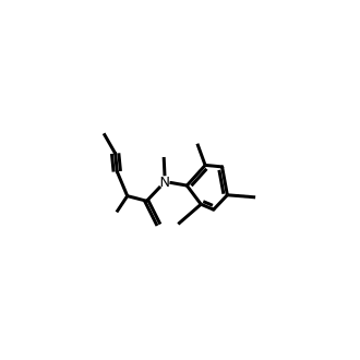 C=C(C(C)C#CC)N(C)c1c(C)cc(C)cc1C